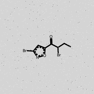 CCC(Br)C(=O)c1cc(Br)no1